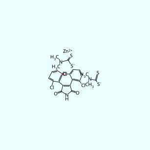 CN(C)C(=S)[S-].CN(C)C(=S)[S-].O=C1NC(=O)C(c2c(Cl)cccc2Cl)=C1c1c(Cl)cccc1Cl.[Zn+2]